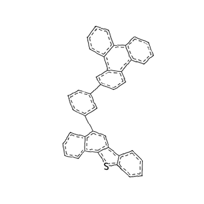 c1cc(-c2ccc3c4ccccc4c4ccccc4c3c2)cc(-c2cc3c4ccccc4sc3c3ccccc23)c1